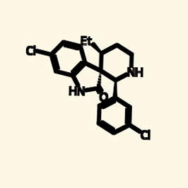 CC[C@H]1CCN[C@@H](c2cccc(Cl)c2)[C@]12C(=O)Nc1cc(Cl)ccc12